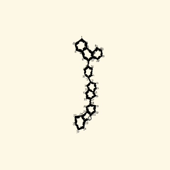 c1ccc2c(c1)cc(-c1ccc(-c3ccc4cc(-c5ccc6oc7ccccc7c6c5)ccc4c3)cc1)c1ccccc12